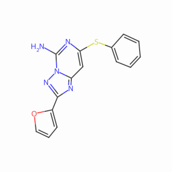 Nc1nc(Sc2ccccc2)cc2nc(-c3ccco3)nn12